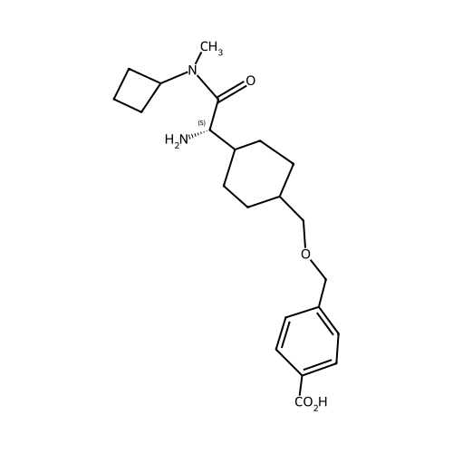 CN(C(=O)[C@@H](N)C1CCC(COCc2ccc(C(=O)O)cc2)CC1)C1CCC1